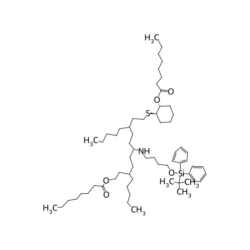 CCCCCCCC(=O)OCCC(CCCCC)CCC(CCC(CCCCC)CCS[C@@H]1CCCC[C@H]1OC(=O)CCCCCCC)NCCCCO[Si](c1ccccc1)(c1ccccc1)C(C)(C)C